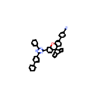 N#Cc1ccc(-c2ccc3c(c2)Oc2cc(-c4nc(-c5ccccc5)nc(-c5ccc(-c6ccccc6)cc5)n4)ccc2C32c3ccccc3-c3ccccc32)cc1